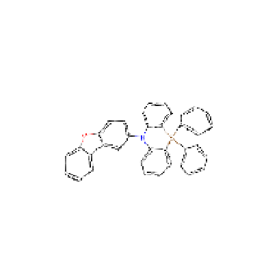 c1ccc(S2(c3ccccc3)c3ccccc3N(c3ccc4oc5ccccc5c4c3)c3ccccc32)cc1